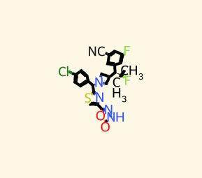 CC(C)(F)[C@@H](c1cc(F)cc(C#N)c1)C1CN([C@H](c2ccc(Cl)cc2)c2nc(-c3n[nH]c(=O)o3)cs2)C1